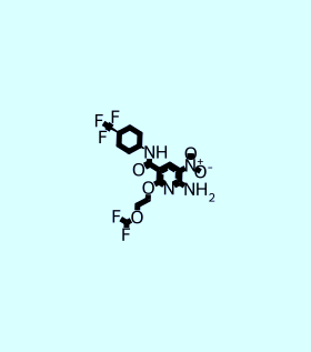 Nc1nc(OCCOC(F)F)c(C(=O)N[C@H]2CC[C@H](C(F)(F)F)CC2)cc1[N+](=O)[O-]